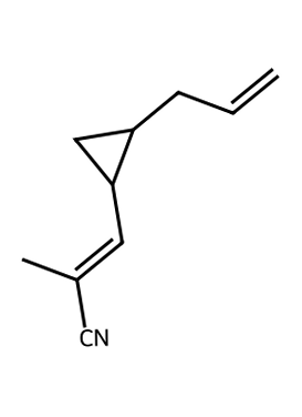 C=CCC1CC1/C=C(\C)C#N